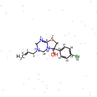 C=CCN1CN=C2SCC(O)(c3ccc(Br)cc3)N2C1